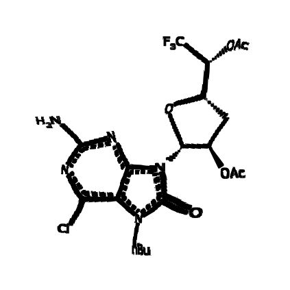 CCCCn1c(=O)n([C@@H]2O[C@H]([C@@H](OC(C)=O)C(F)(F)F)C[C@H]2OC(C)=O)c2nc(N)nc(Cl)c21